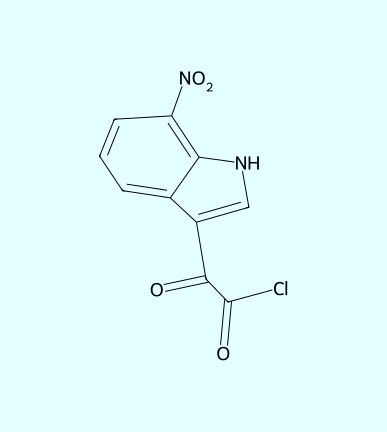 O=C(Cl)C(=O)c1c[nH]c2c([N+](=O)[O-])cccc12